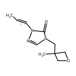 C/C=C/n1ncn(CC2(C)COC2)c1=O